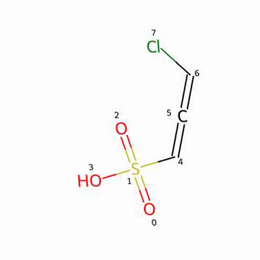 O=S(=O)(O)C=C=CCl